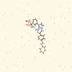 CC(C)(O)c1cccc(-c2cnn3c2NCC(c2ccc(CCN4CCCCC4)cc2)=C3)c1